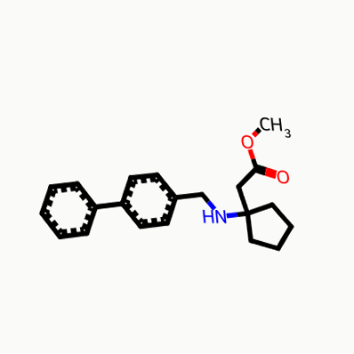 COC(=O)CC1(NCc2ccc(-c3ccccc3)cc2)CCCC1